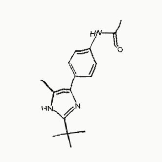 CC(=O)Nc1ccc(-c2nc(C(C)(C)C)[nH]c2C)cc1